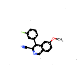 COc1ccc2cnc(C#N)c(-c3cccc(F)c3)c2c1